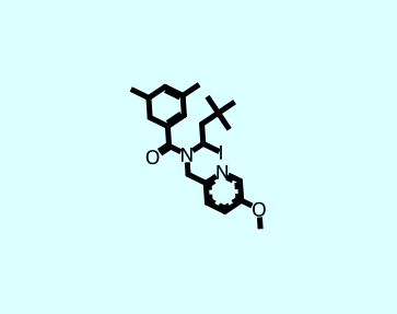 COc1ccc(CN(C(=O)C2=CC(C)=CC(C)C2)C(I)CC(C)(C)C)nc1